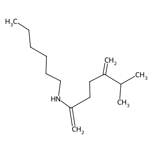 C=C(CCC(=C)C(C)C)NCCCCCC